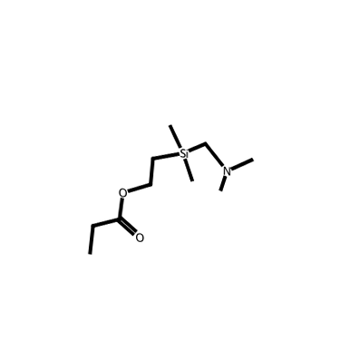 CCC(=O)OCC[Si](C)(C)CN(C)C